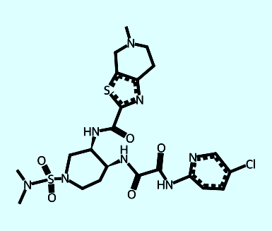 CN1CCc2nc(C(=O)N[C@@H]3CN(S(=O)(=O)N(C)C)CC[C@@H]3NC(=O)C(=O)Nc3ccc(Cl)cn3)sc2C1